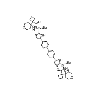 CC(C)(C)[C@H](NC(=O)C1(C2(O)CCOCC2)CCC1)c1ncc(C2=CC=C(c3ccc(-c4cnc([C@@H](NC(=O)C5(C6(O)CCOCC6)CCC5)C(C)(C)C)[nH]4)cc3)CC2)[nH]1